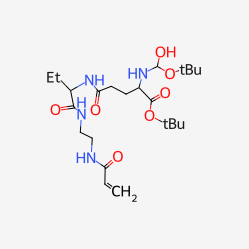 C=CC(=O)NCCNC(=O)C(CC)NC(=O)CCC(NC(O)OC(C)(C)C)C(=O)OC(C)(C)C